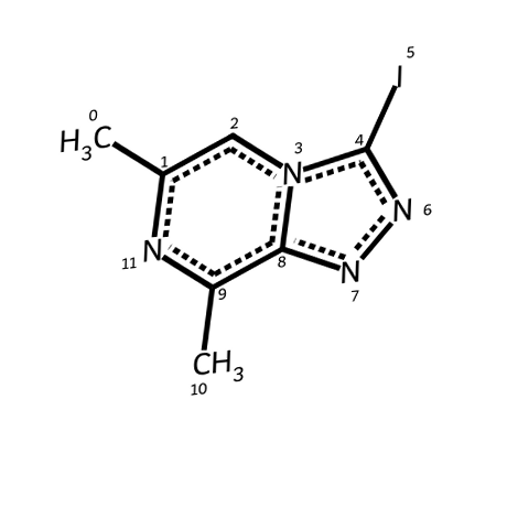 Cc1cn2c(I)nnc2c(C)n1